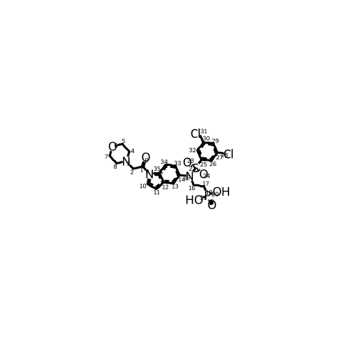 O=C(CN1CCOCC1)n1ccc2cc(N(CCP(=O)(O)O)S(=O)(=O)c3cc(Cl)cc(Cl)c3)ccc21